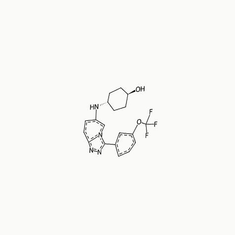 O[C@H]1CC[C@H](Nc2ccc3nnc(-c4cccc(OC(F)(F)F)c4)n3c2)CC1